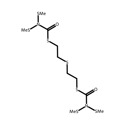 CSN(SC)C(=O)SCCSCCSC(=O)N(SC)SC